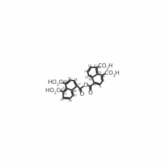 O=C(OC(=O)c1ccc(C(=O)O)c2c(C(=O)O)cccc12)c1ccc(C(=O)O)c2c(C(=O)O)cccc12